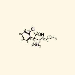 CCCC[C@](N)(CO)c1ccccc1Cl